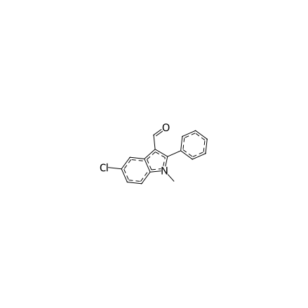 Cn1c(-c2ccccc2)c(C=O)c2cc(Cl)ccc21